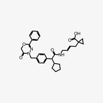 O=C(NC/C=C/CC1(C(=O)O)CC1)C(c1ccc(CN2N=C(c3ccccc3)OCC2=O)cc1)C1CCCC1